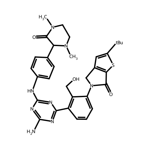 CN1CCN(C)C(c2ccc(Nc3nc(N)nc(-c4cccc(N5Cc6cc(C(C)(C)C)sc6C5=O)c4CO)n3)cc2)C1=O